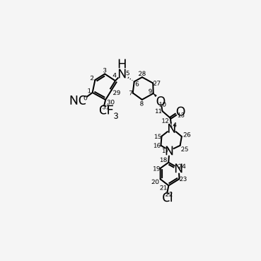 N#Cc1ccc(N[C@H]2CC[C@H](OCC(=O)N3CCN(c4ccc(Cl)cn4)CC3)CC2)cc1C(F)(F)F